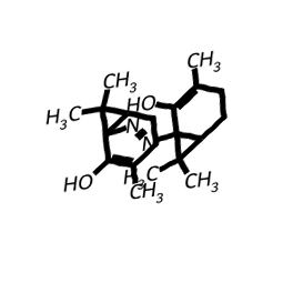 CC1=C(O)C2(N=NC34C(O)=C(C)CCC3C4(C)C)C(CC1)C2(C)C